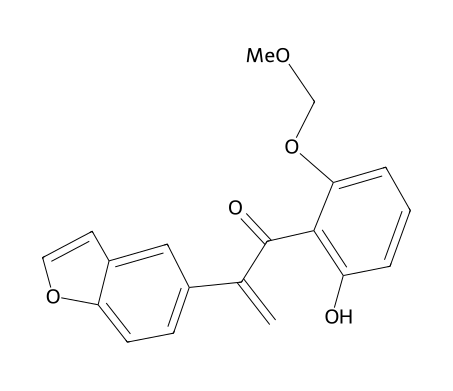 C=C(C(=O)c1c(O)cccc1OCOC)c1ccc2occc2c1